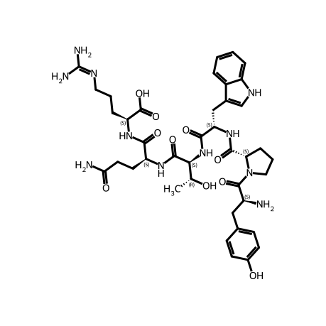 C[C@@H](O)[C@H](NC(=O)[C@H](Cc1c[nH]c2ccccc12)NC(=O)[C@@H]1CCCN1C(=O)[C@@H](N)Cc1ccc(O)cc1)C(=O)N[C@@H](CCC(N)=O)C(=O)N[C@@H](CCCN=C(N)N)C(=O)O